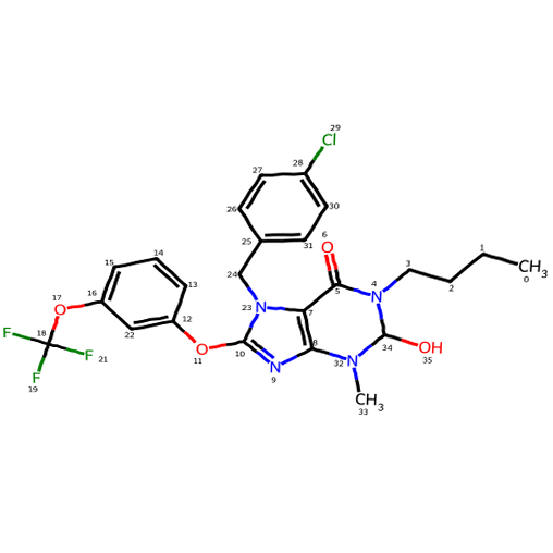 CCCCN1C(=O)c2c(nc(Oc3cccc(OC(F)(F)F)c3)n2Cc2ccc(Cl)cc2)N(C)C1O